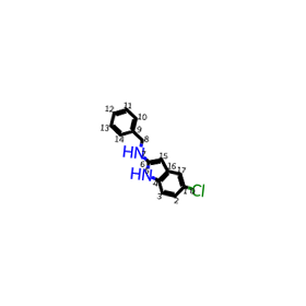 Clc1ccc2[nH]c(NCc3ccccc3)cc2c1